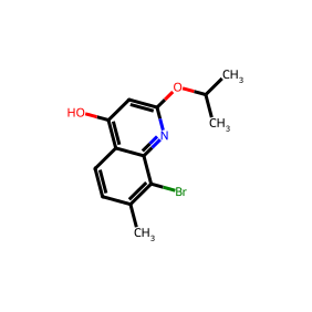 Cc1ccc2c(O)cc(OC(C)C)nc2c1Br